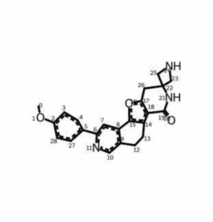 COc1ccc(-c2cc3c(cn2)CCc2c-3oc3c2C(=O)NC2(CNC2)C3)cc1